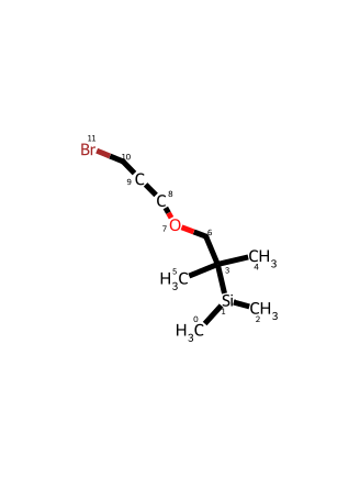 C[Si](C)C(C)(C)COCCCBr